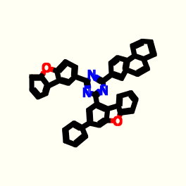 C1=CC2C=Cc3cc(-c4nc(-c5ccc6oc7ccccc7c6c5)nc(-c5cc(-c6ccccc6)cc6oc7ccccc7c56)n4)ccc3C2C=C1